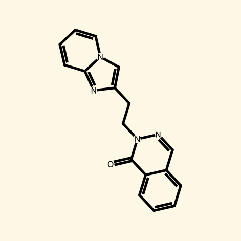 O=c1c2ccccc2cnn1CCc1cn2ccccc2n1